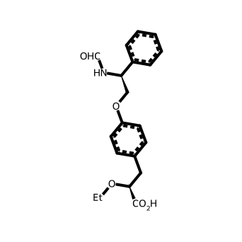 CCO[C@@H](Cc1ccc(OC[C@@H](NC=O)c2ccccc2)cc1)C(=O)O